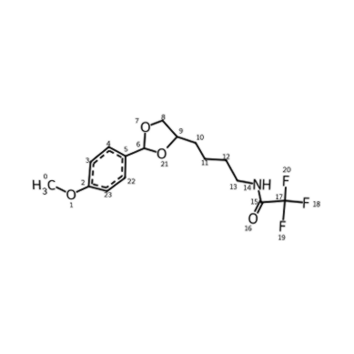 COc1ccc(C2OCC(CCCCNC(=O)C(F)(F)F)O2)cc1